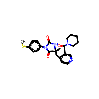 CC1(Cc2ccncc2C(=O)N2CCCCC2)NC(=O)N(c2ccc(SC(F)(F)F)cc2)C1=O